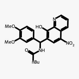 CCCCC(=O)NC(c1ccc(OC)c(OC)c1)c1cc([N+](=O)[O-])c2cccnc2c1O